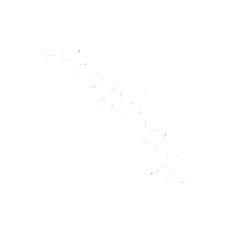 COC(=O)N[C@H](C(=O)N1CCC[C@H]1c1ncc(-c2ccc(-c3ccc(-c4ccc5nc([C@@H]6CC7CC7N6C(=O)[C@@H](NC(=O)OC)C(C)C)[nH]c(=O)c5c4)c4c3CC3(CCCC3)C4)c3ccccc23)[nH]1)C(C)C